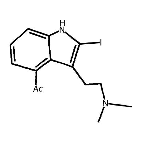 CC(=O)c1cccc2[nH]c(I)c(CCN(C)C)c12